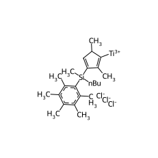 CCCC[Si](C)(C1=CC(C)[C]([Ti+3])=C1C)c1c(C)c(C)c(C)c(C)c1C.[Cl-].[Cl-].[Cl-]